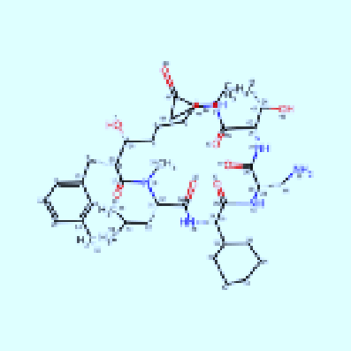 CCCCCC[C@@H](O)[C@@H](Cc1cccc(C)c1)C(=O)N(C)[C@@H](CC(C)C)C(=O)N[C@H](C(=O)N[C@@H](CN)C(=O)N[C@H](C(=O)NC1CC1=O)[C@H](C)O)C1CCCCC1